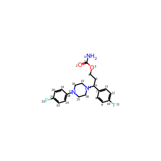 NC(=O)OCCC(c1ccc(F)cc1)N1CCN(c2ccc(F)cc2)CC1